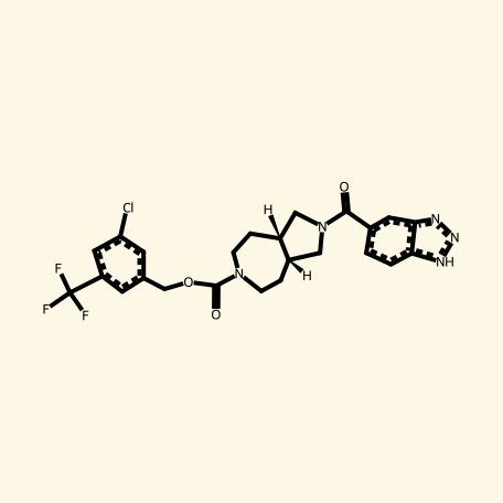 O=C(OCc1cc(Cl)cc(C(F)(F)F)c1)N1CC[C@@H]2CN(C(=O)c3ccc4[nH]nnc4c3)C[C@@H]2CC1